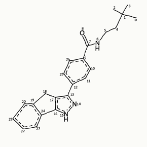 CC(C)(C)CCNC(=O)c1ccc(-c2n[nH]c3c2Cc2ccccc2-3)cc1